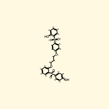 O=S(=O)(c1ccc(OCCCOc2ccccc2S(=O)(=O)c2ccc(O)cc2)cc1)c1ccccc1O